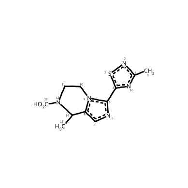 Cc1nsc(-c2ncc3n2CCN(C(=O)O)C3C)n1